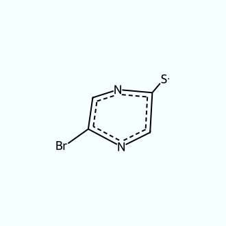 [S]c1cnc(Br)cn1